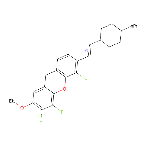 CCCC1CCC(/C=C/c2ccc3c(c2F)Oc2c(cc(OCC)c(F)c2F)C3)CC1